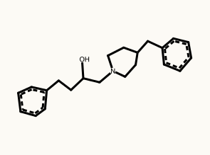 OC(CCc1ccccc1)CN1CCC(Cc2ccccc2)CC1